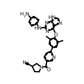 Cc1cc(-c2ccc(C(=O)N3CCC(C#N)C3)cn2)cc(C)c1Oc1nc(Nc2ccc(N)cc2)nc2[nH]cnc12